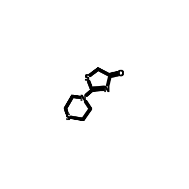 O=C1CSC(N2CCSCC2)=N1